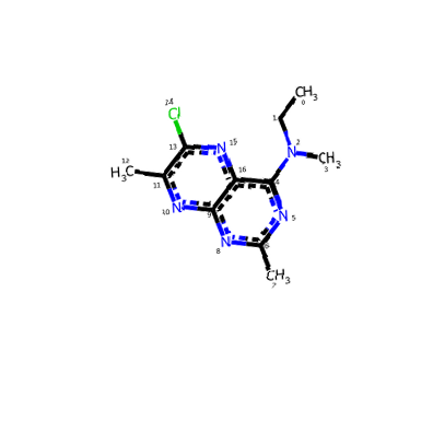 CCN(C)c1nc(C)nc2nc(C)c(Cl)nc12